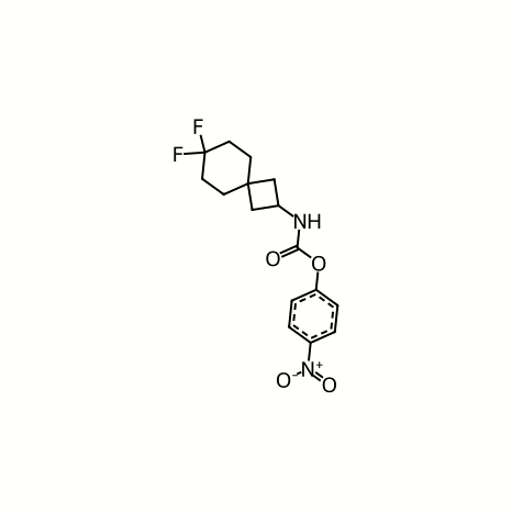 O=C(NC1CC2(CCC(F)(F)CC2)C1)Oc1ccc([N+](=O)[O-])cc1